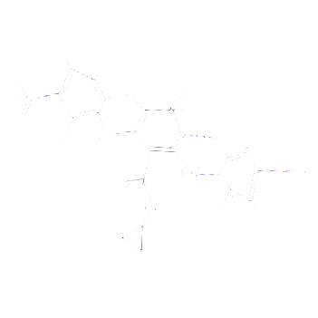 Cc1c(Oc2c(C(=O)NC3CC3)c(Nc3ccc(I)cc3F)n(C)c(=O)c2C)cccc1[N+](=O)[O-]